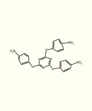 O=[N+]([O-])c1ccc(Oc2nc(Oc3ccc([N+](=O)[O-])cc3)nc(Oc3ccc([N+](=O)[O-])cc3)n2)cc1